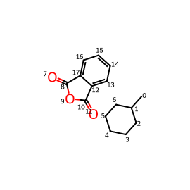 CC1CCCCC1.O=C1OC(=O)c2ccccc21